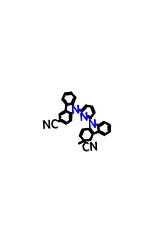 CC1(C#N)C=Cc2c(c3ccccc3n2-c2cccc(-n3c4ccccc4c4cc(C#N)ccc43)n2)C1